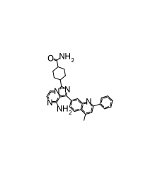 Cc1cc(-c2ccccc2)nc2cc(-c3nc(C4CCC(C(N)=O)CC4)n4ccnc(N)c34)ccc12